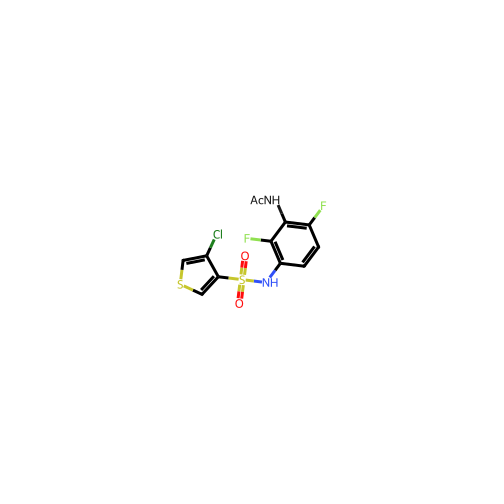 CC(=O)Nc1c(F)ccc(NS(=O)(=O)c2cscc2Cl)c1F